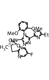 CCc1csc(-c2nnc(NS(=O)(=O)[C@@H](C)Cc3ncc(F)cn3)n2-c2c(OC)cccc2OC)n1